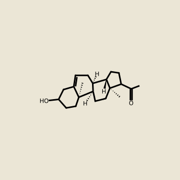 CC(=O)C1CC[C@H]2[C@@H]3CC=C4CC(O)CC[C@]4(C)[C@@H]3CC[C@]12C